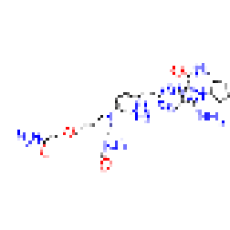 CN(C)C(=O)c1cc(/C=N\C(N)CC2=CC=C(N(CCCCOCCC(N)=O)CCNC=O)CN2)c(N)n1C1CCCC1